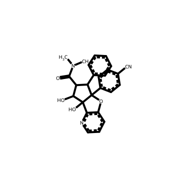 CN(C)C(=O)C1C(O)C2(O)c3ncccc3OC2(c2ccc(C#N)cc2)C1c1ccccc1